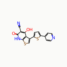 N#Cc1c(O)c2c(-c3ccc(-c4ccncc4)s3)csc2[nH]c1=O